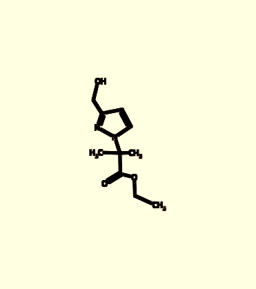 CCOC(=O)C(C)(C)n1ccc(CO)n1